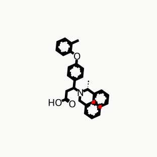 Cc1ccccc1Oc1ccc(C(CC(=O)O)N(Cc2ccccc2)[C@H](C)c2ccccc2)cc1